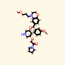 COCCCN1CCOc2ccc(CO[C@H]3CNC[C@@H](OCC(=O)N4CCCC4)[C@@H]3c3ccc(OC)cc3)cc21